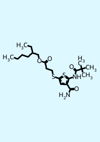 CCCCC(CC)COC(=O)CCSc1cc(C(N)=O)c(NC(=O)C(C)(C)C)s1